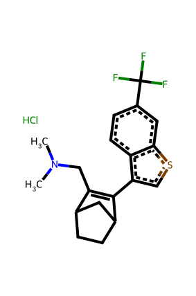 CN(C)CC1=C(c2csc3cc(C(F)(F)F)ccc23)C2CCC1C2.Cl